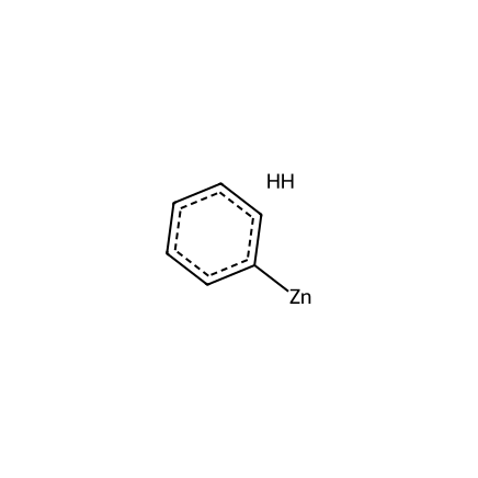 [HH].[Zn][c]1ccccc1